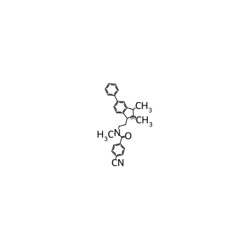 CC1c2cc(-c3ccccc3)ccc2C(CCN(C)C(=O)c2ccc(C#N)cc2)[C@@H]1C